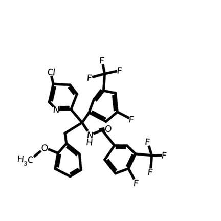 COc1ccccc1CC(NC(=O)c1ccc(F)c(C(F)(F)F)c1)(c1cc(F)cc(C(F)(F)F)c1)c1ccc(Cl)cn1